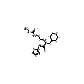 CC(C)(C)OC(=O)NCCN[C@@H](CC1CCCCC1)C(=O)Nc1nccs1